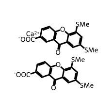 CSc1cc(SC)c2oc3ccc(C(=O)[O-])cc3c(=O)c2c1.CSc1cc(SC)c2oc3ccc(C(=O)[O-])cc3c(=O)c2c1.[Ca+2]